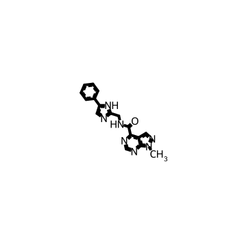 Cn1ncc2c(C(=O)NCc3ncc(-c4ccccc4)[nH]3)ncnc21